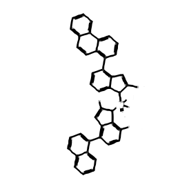 CC1=Cc2c(-c3cccc4ccccc34)ccc(C)c2[CH]1[Zr]([CH3])([CH3])(=[SiH2])[CH]1C(C(C)C)=Cc2c(-c3cccc4c3ccc3ccccc34)cccc21.Cl.Cl